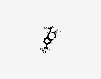 CC(=O)N1Cc2ccc(C(=O)NO)cc2OCC1C